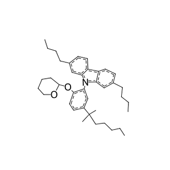 CCCCCC(C)(C)c1ccc(OC2CCCCO2)c(-n2c3cc(CCCC)ccc3c3ccc(CCCC)cc32)c1